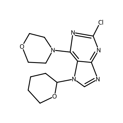 Clc1nc(N2CCOCC2)c2c(ncn2C2CCCCO2)n1